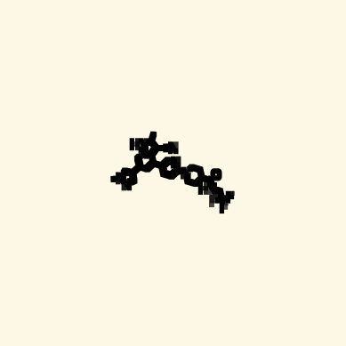 CC1NN2C=C(c3cnn(C)c3)C=C(c3ccc(N4CCC(C(=O)NCC(F)(F)F)CC4)nc3)C2=C1C#N